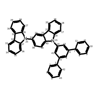 c1ccc(-c2cc(-c3ccccc3)cc(-n3c4ccccc4c4cc(-n5c6ccccc6c6ccccc65)ccc43)c2)cc1